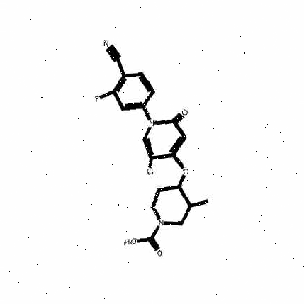 CC1CN(C(=O)O)CCC1Oc1cc(=O)n(-c2ccc(C#N)c(F)c2)cc1Cl